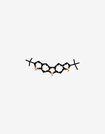 CC(C)(C)c1cc2cc3c(cc2s1)sc1cc2sc(C(C)(C)C)cc2cc13